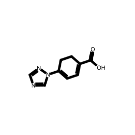 O=C(O)C1=CC=C(n2cncn2)CC1